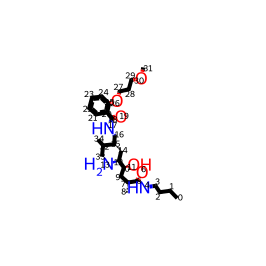 CCCCNC(=O)[C@H](C)C[C@H](O)[C@@H](N)C[C@@H](CNC(=O)c1ccccc1OCCCOC)C(C)C